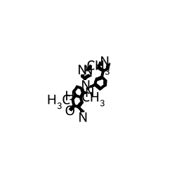 C[C@H]1C(=O)C(C#N)=C[C@@]2(C)c3nc(-c4cccc(-c5ccncc5)c4)n(-c4cnn(C)c4)c3CC[C@H]12